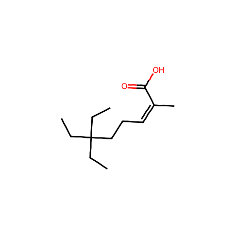 CCC(CC)(CC)CCC=C(C)C(=O)O